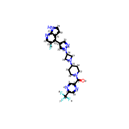 O=C(c1cnc(C(F)(F)F)cn1)N1CCC(N2C[C](n3cc(-c4c(F)cnc5[nH]ccc45)cn3)C2)CC1